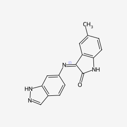 Cc1ccc2c(c1)/C(=N/c1ccc3cn[nH]c3c1)C(=O)N2